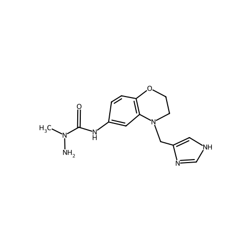 CN(N)C(=O)Nc1ccc2c(c1)N(Cc1c[nH]cn1)CCO2